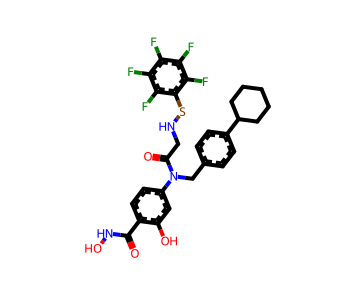 O=C(NO)c1ccc(N(Cc2ccc(C3CCCCC3)cc2)C(=O)CNSc2c(F)c(F)c(F)c(F)c2F)cc1O